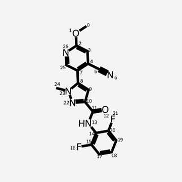 COc1cc(C#N)c(-c2cc(C(=O)Nc3c(F)cccc3F)nn2C)cn1